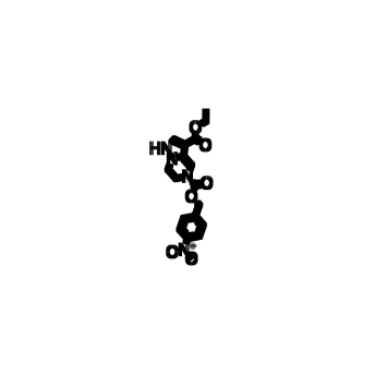 CCOC(=O)C1=CNN2CCN(C(=O)OCc3ccc([N+](=O)[O-])cc3)C=C12